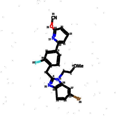 COCCn1c(Cc2ccc(-c3cccc(OC#N)n3)cc2F)nc2ccc(Br)cc21